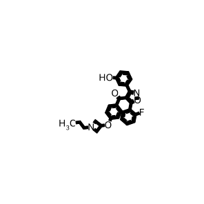 CCCN1CC(Oc2ccc(C(=O)c3c(-c4cccc(O)c4)noc3-c3ccccc3F)cc2)C1